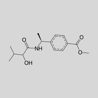 COC(=O)c1ccc([C@H](C)NC(=O)C(O)C(C)C)cc1